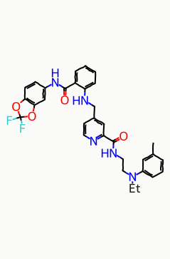 CCN(CCNC(=O)c1cc(CNc2ccccc2C(=O)Nc2ccc3c(c2)OC(F)(F)O3)ccn1)c1cccc(C)c1